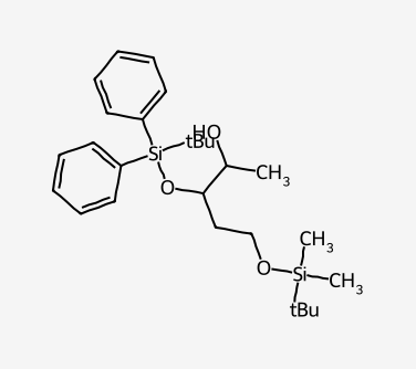 CC(O)C(CCO[Si](C)(C)C(C)(C)C)O[Si](c1ccccc1)(c1ccccc1)C(C)(C)C